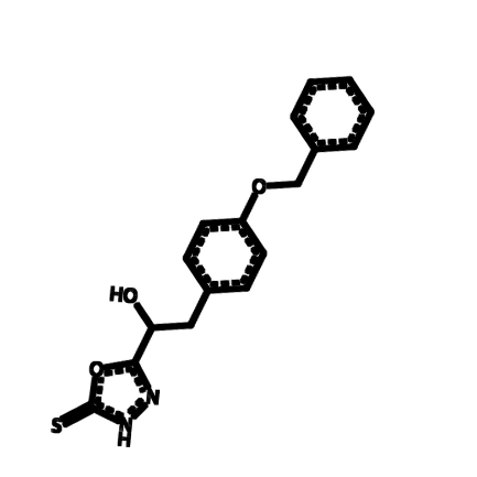 OC(Cc1ccc(OCc2ccccc2)cc1)c1n[nH]c(=S)o1